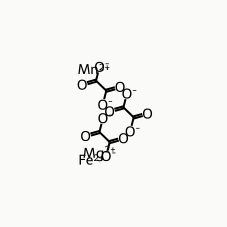 O=C([O-])C(=O)[O-].O=C([O-])C(=O)[O-].O=C([O-])C(=O)[O-].[Fe+2].[Mg+2].[Mn+2]